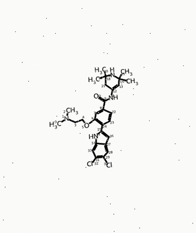 CN(C)CCOc1cc(C(=O)NC2=CC(C)(C)NC(C)(C)C2)ccc1-c1cc2cc(Cl)c(Cl)cc2[nH]1